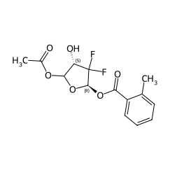 CC(=O)OC1O[C@H](OC(=O)c2ccccc2C)C(F)(F)[C@H]1O